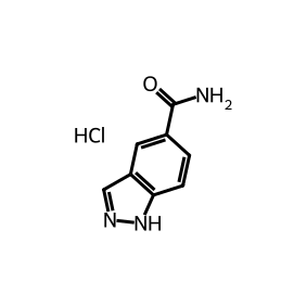 Cl.NC(=O)c1ccc2[nH]ncc2c1